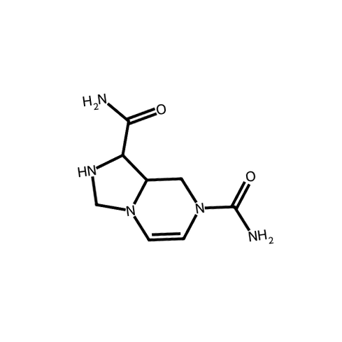 NC(=O)C1NCN2C=CN(C(N)=O)CC12